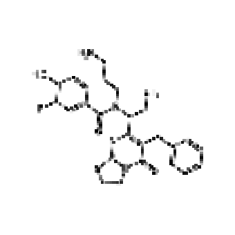 CCC(c1nc2sccn2c(=O)c1Cc1ccccc1)N(CCCN)C(=O)c1ccc(C)c(F)c1